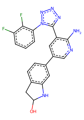 Nc1ncc(-c2ccc3c(c2)NC(O)C3)cc1-c1nnnn1-c1cccc(F)c1F